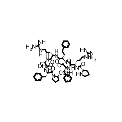 N=C(N)NCCC[C@H](NC(=O)[C@@H]1CCCN1)C(=O)N[C@@H](Cc1ccccc1)C(=O)N[C@@H](CCc1ccccc1)C(=O)N[C@@H](CCCNC(=N)N)C(=O)N[C@@H](CO)C(=O)N[C@@H](Cc1ccccc1)C(=O)N1CCC[C@@H]1C(=O)O